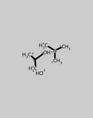 CC(C)O.CN(C)C.Cl